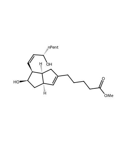 CCCCC[C@H](O)/C=C\[C@H]1[C@H]2CC(CCCCC(=O)OC)=C[C@H]2C[C@H]1O